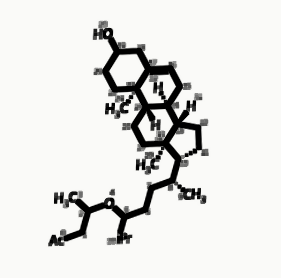 CC(=O)CC(C)OC(CC[C@@H](C)[C@H]1CC[C@H]2[C@@H]3CC=C4CC(O)CC[C@]4(C)[C@H]3CC[C@]12C)C(C)C